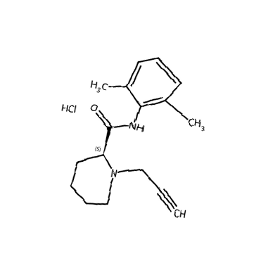 C#CCN1CCCC[C@H]1C(=O)Nc1c(C)cccc1C.Cl